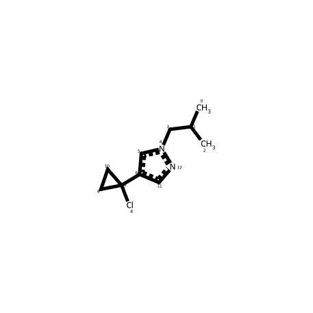 CC(C)Cn1cc(C2(Cl)CC2)cn1